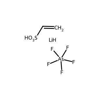 C=CS(=O)(=O)O.F[As](F)(F)(F)F.[LiH]